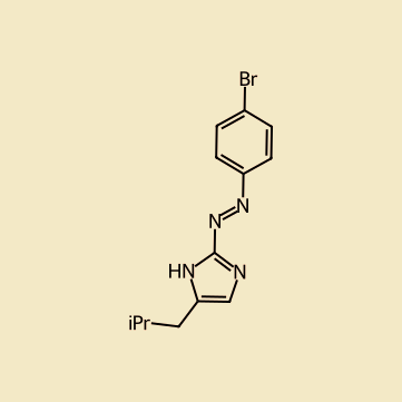 CC(C)Cc1cnc(N=Nc2ccc(Br)cc2)[nH]1